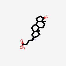 CC12CCC3C(CCC4C/C(=C\CCC(=O)O)CCC43C)C1CCC2=O